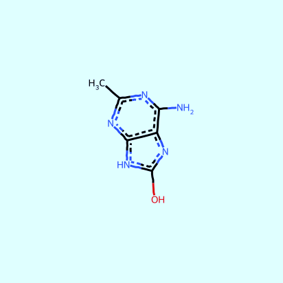 Cc1nc(N)c2nc(O)[nH]c2n1